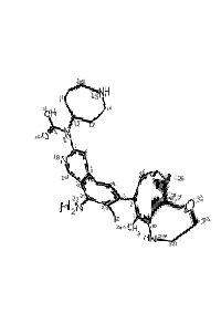 Cc1c(-c2cc3cc(N(C(=O)O)C4CCNCC4)ncc3c(N)c2F)cnc2c1NCCO2